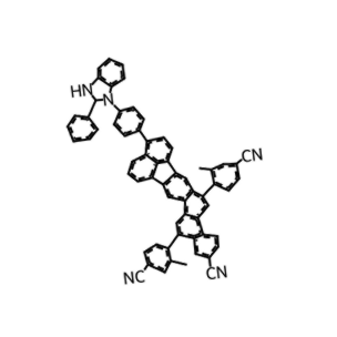 Cc1cc(C#N)ccc1-c1cc2c3cc4c(cc3c(-c3ccc(C#N)cc3C)cc2c2ccc(C#N)cc12)-c1ccc(-c2ccc(N3c5ccccc5NC3c3ccccc3)cc2)c2cccc-4c12